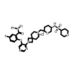 CCN(C(=O)c1cc(F)ccc1Oc1cncnc1N1CC2(CCN(C[C@@]3(O)CC[C@@H](NS(=O)(=O)C4CCOCC4)CO3)CC2)C1)C(C)C